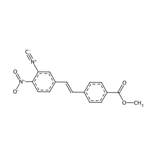 [C-]#[N+]c1cc(C=Cc2ccc(C(=O)OC)cc2)ccc1[N+](=O)[O-]